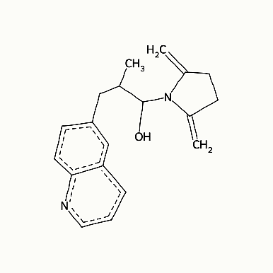 C=C1CCC(=C)N1C(O)C(C)Cc1ccc2ncccc2c1